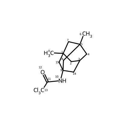 CC12CC3CC(C)(C1)CC(NC(=O)C(Cl)(Cl)Cl)(C3)C2